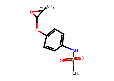 C[C@@H]1OC1Oc1ccc(NS(C)(=O)=O)cc1